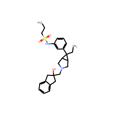 CCCS(=O)(=O)Nc1cccc(C2(CC)C3CN(CC4(O)Cc5ccccc5C4)CC32)c1